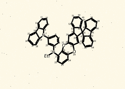 CCN(c1cccc(-n2c3ccccc3c3ccccc32)c1)c1cccc2c1Oc1cc3c(cc1O2)C1(c2ccccc2-c2ccccc21)c1ccccc1-3